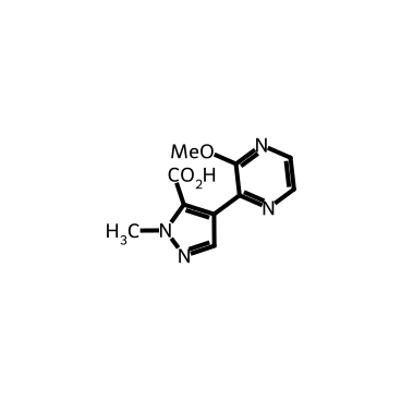 COc1nccnc1-c1cnn(C)c1C(=O)O